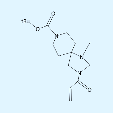 C=CC(=O)N1CN(C)C2(CCN(C(=O)OC(C)(C)C)CC2)C1